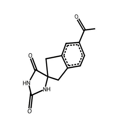 CC(=O)c1ccc2c(c1)CC1(C2)NC(=O)NC1=O